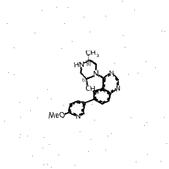 COc1ccc(-c2ccc3ncnc(N4C[C@@H](C)NC[C@@H]4C)c3c2)cn1